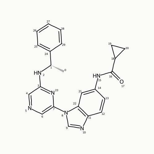 C[C@H](Nc1cncc(-n2cnc3ccc(NC(=O)C4CC4)cc32)n1)c1ccccc1